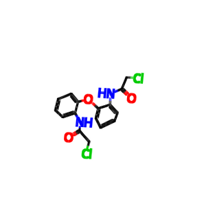 O=C(CCl)Nc1ccccc1Oc1ccccc1NC(=O)CCl